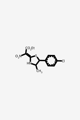 CCOC(=O)C(=C1NC(C)C(c2ccc(Cl)cc2)S1)[N+](=O)[O-]